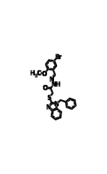 COc1ccc(Br)cc1/C=N/NC(=O)CSc1nc2ccccc2n1Cc1ccccc1